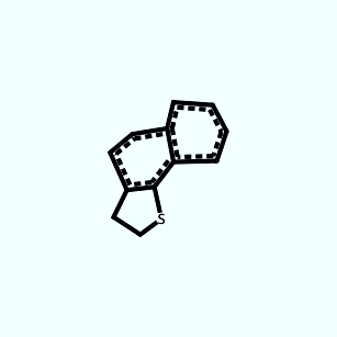 c1ccc2c3c(ccc2c1)CCS3